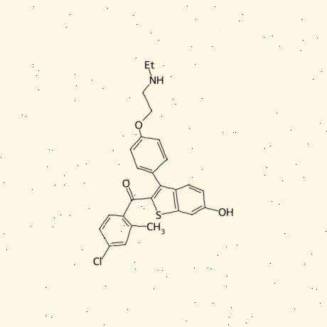 CCNCCOc1ccc(-c2c(C(=O)c3ccc(Cl)cc3C)sc3cc(O)ccc23)cc1